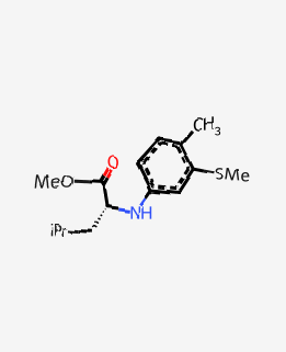 COC(=O)[C@@H](CC(C)C)Nc1ccc(C)c(SC)c1